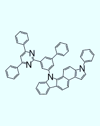 c1ccc(-c2cc(-c3nc(-c4ccccc4)cc(-c4ccccc4)n3)cc(-n3c4ccccc4c4ccc5c6ccn(-c7ccccc7)c6ccc5c43)c2)cc1